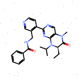 CC[C@@H]1C(=O)N(C)c2cnc(-c3ccncc3CNC(=O)c3ccccc3)nc2N1C(C)C